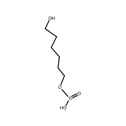 [O]=[Ti]([OH])[O]CCCCCCO